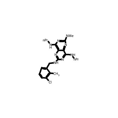 CCCNc1nc(NCc2cccc(Cl)c2C)nc2c(NCCC)nc(NC)nc12